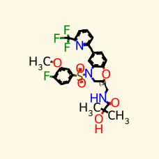 COc1cc(S(=O)(=O)N2C[C@H](CNC(=O)C(C)(C)O)Oc3ccc(-c4cccc(C(F)(F)F)n4)cc32)ccc1F